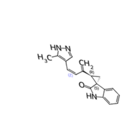 C=C(/C=C\c1cn[nH]c1C)[C@H]1C[C@]12C(=O)Nc1ccccc12